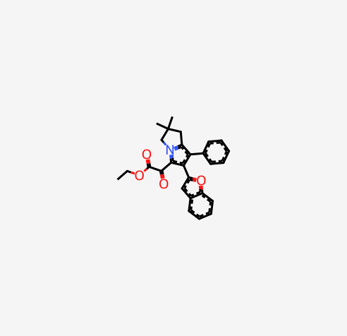 CCOC(=O)C(=O)c1c(-c2cc3ccccc3o2)c(-c2ccccc2)c2n1CC(C)(C)C2